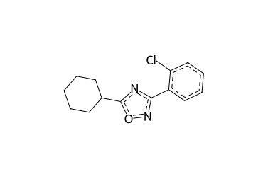 Clc1ccccc1-c1noc(C2CCCCC2)n1